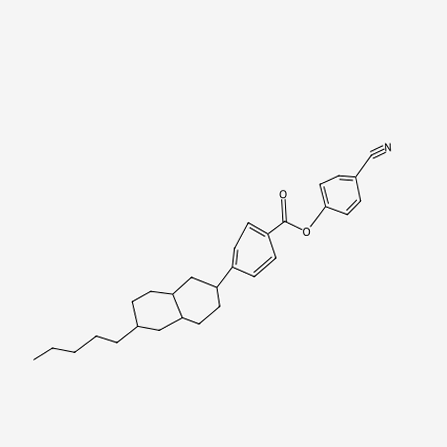 CCCCCC1CCC2CC(c3ccc(C(=O)Oc4ccc(C#N)cc4)cc3)CCC2C1